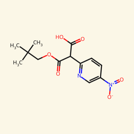 CC(C)(C)COC(=O)C(C(=O)O)c1ccc([N+](=O)[O-])cn1